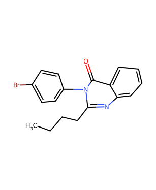 CCCCc1nc2ccccc2c(=O)n1-c1ccc(Br)cc1